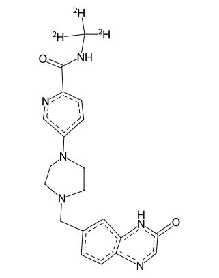 [2H]C([2H])([2H])NC(=O)c1ccc(N2CCN(Cc3ccc4ncc(=O)[nH]c4c3)CC2)cn1